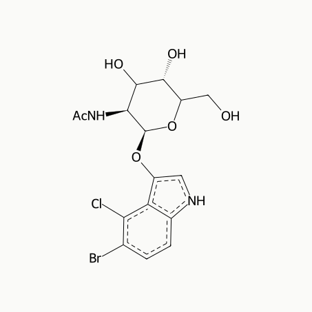 CC(=O)N[C@H]1C(O)[C@H](O)C(CO)O[C@H]1Oc1c[nH]c2ccc(Br)c(Cl)c12